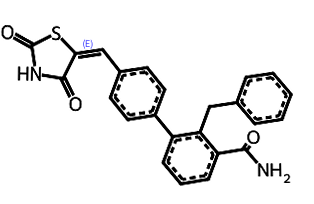 NC(=O)c1cccc(-c2ccc(/C=C3/SC(=O)NC3=O)cc2)c1Cc1ccccc1